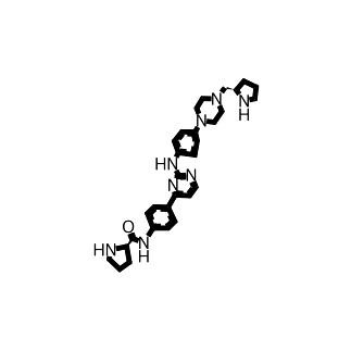 O=C(Nc1ccc(-c2ccnc(Nc3ccc(N4CCN(C[C@@H]5CCCN5)CC4)cc3)n2)cc1)[C@H]1CCCN1